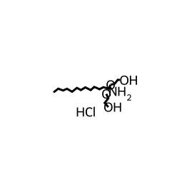 CCCCCCCCCCCCC(N)(OCCO)OCCO.Cl